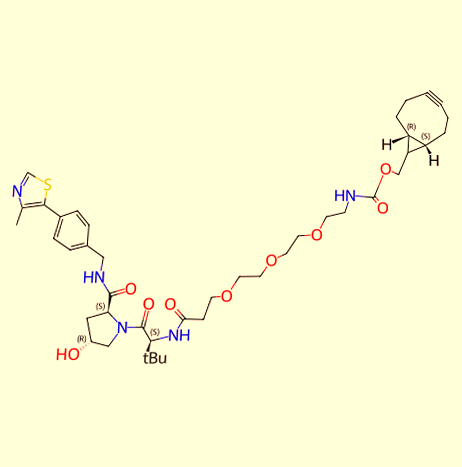 Cc1ncsc1-c1ccc(CNC(=O)[C@@H]2C[C@@H](O)CN2C(=O)[C@@H](NC(=O)CCOCCOCCOCCNC(=O)OCC2[C@H]3CCC#CCC[C@@H]23)C(C)(C)C)cc1